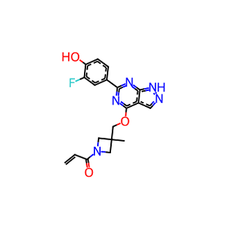 C=CC(=O)N1CC(C)(COc2nc(-c3ccc(O)c(F)c3)nc3[nH]ncc23)C1